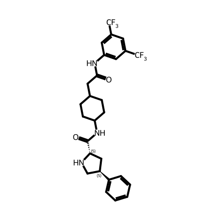 O=C(CC1CCC(NC(=O)[C@@H]2C[C@@H](c3ccccc3)CN2)CC1)Nc1cc(C(F)(F)F)cc(C(F)(F)F)c1